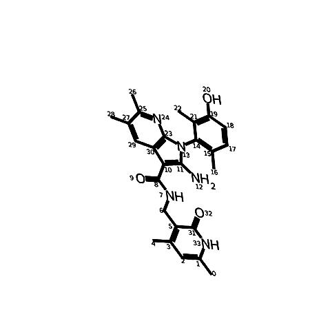 Cc1cc(C)c(CNC(=O)c2c(N)n(-c3c(C)ccc(O)c3C)c3nc(C)c(C)cc23)c(=O)[nH]1